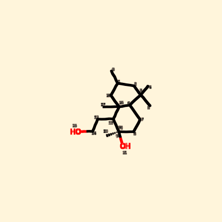 CC1CC(C)(C)C2CC[C@@](C)(O)C(CCO)C2(C)C1